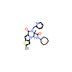 CCc1cc2c(cc3n2CC(C)(C(=O)NC2CCCCCC2)N(Cc2ccccn2)C3=O)s1